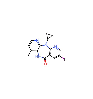 Cc1ccnc2c1NC(=O)c1cc(I)cnc1N2C1CC1